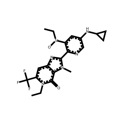 CCn1c(C(F)(F)F)cc2nc(-c3ncc(NC4CC4)cc3[S+]([O-])CC)n(C)c2c1=O